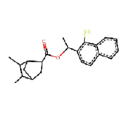 CC(OC(=O)C1CC2CC1C(C)C2C)c1ccc2ccccc2c1S